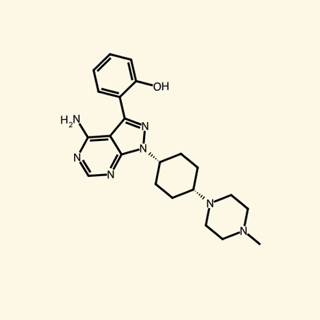 CN1CCN([C@H]2CC[C@@H](n3nc(-c4ccccc4O)c4c(N)ncnc43)CC2)CC1